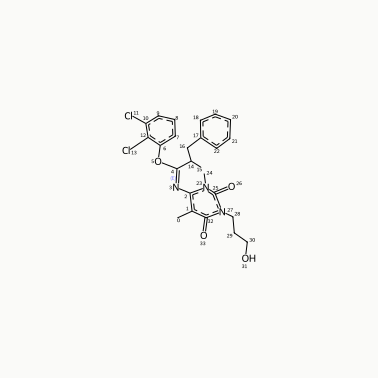 Cc1c(/N=C(/Oc2cccc(Cl)c2Cl)C(C)Cc2ccccc2)n(C)c(=O)n(CCCO)c1=O